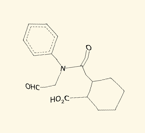 O=CCN(C(=O)C1CCCCC1C(=O)O)c1ccccc1